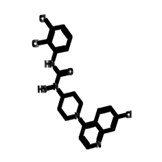 O=C(Nc1cccc(Cl)c1Cl)N(S)C1CCN(c2ccnc3cc(Cl)ccc23)CC1